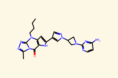 CCCCn1c2cc(-c3cnn(C4CN(c5nccc(N)n5)C4)c3)[nH]c2c(=O)n2c(C)nnc12